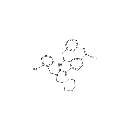 Cc1ccccc1CN(CC1CCCCC1)C(=N)Nc1ccc(C(N)=O)cc1OCc1ccccc1